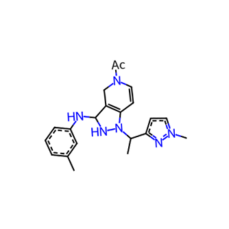 CC(=O)N1C=CC2=C(C1)C(Nc1cccc(C)c1)NN2C(C)c1ccn(C)n1